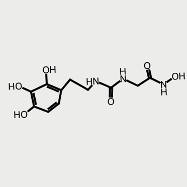 O=C(CNC(=O)NCCc1ccc(O)c(O)c1O)NO